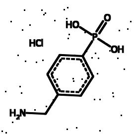 Cl.NCc1ccc(P(=O)(O)O)cc1